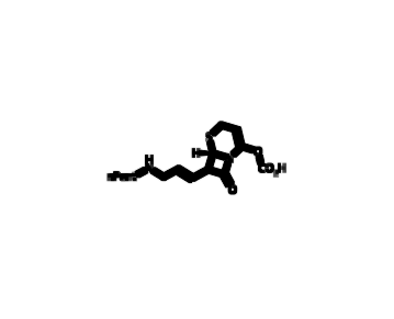 CCCCCNCC=CC1C(=O)N2C(OC(=O)O)=CCS[C@@H]12